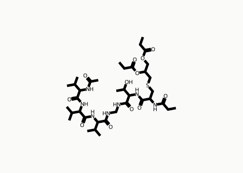 CCC(=O)NC(CSCC(COC(=O)CC)OC(=O)CC)C(=O)NC(C(=O)NCNC(=O)C(NC(=O)C(NC(=O)C(NC(C)=O)C(C)C)C(C)C)C(C)C)C(C)O